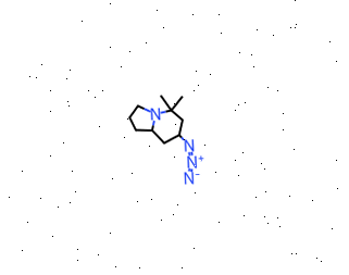 CC1(C)CC(N=[N+]=[N-])CC2CCCN21